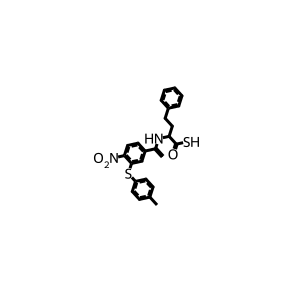 C=C(NC(CCc1ccccc1)C(=O)S)c1ccc([N+](=O)[O-])c(Sc2ccc(C)cc2)c1